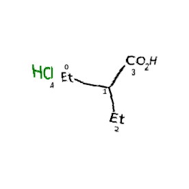 CCC(CC)C(=O)O.Cl